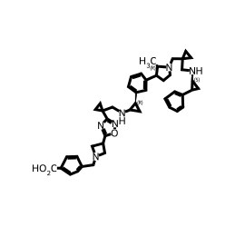 C[C@@H]1C(c2cccc([C@H]3CC3NCC3(c4noc(C5CN(Cc6ccc(C(=O)O)cc6)C5)n4)CC3)c2)CCN1CC1(CN[C@H]2CC2c2ccccc2)CC1